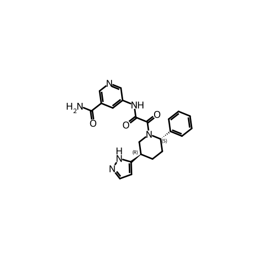 NC(=O)c1cncc(NC(=O)C(=O)N2C[C@H](c3ccn[nH]3)CC[C@H]2c2ccccc2)c1